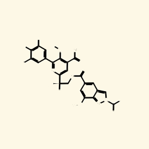 CCOc1c(C(N)=O)cc([C@@](O)(CNC(=O)c2cc(OC)c3nn(C(F)F)cc3c2)C(F)(F)F)nc1-c1cc(F)c(F)c(Cl)c1